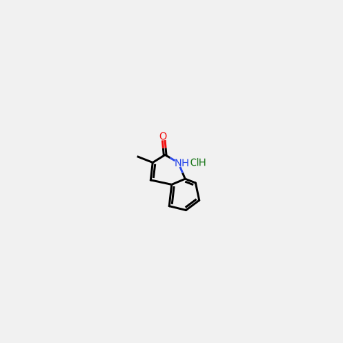 Cc1cc2ccccc2[nH]c1=O.Cl